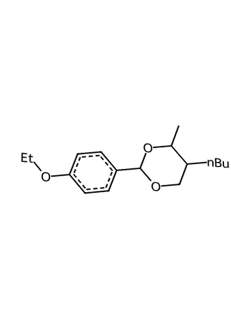 CCCCC1COC(c2ccc(OCC)cc2)OC1C